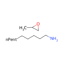 CC1CO1.CCCCCCCCCCN